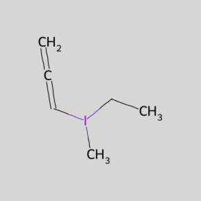 C=C=CI(C)CC